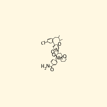 CC1Cc2ccc(Cl)cc2-c2cc(=O)n(C(CC3CCCCO3)C(=O)Nc3ccc(C(N)=O)cc3)cc2OC1C